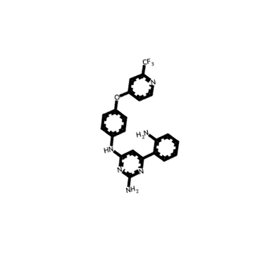 Nc1nc(Nc2ccc(Oc3ccnc(C(F)(F)F)c3)cc2)cc(-c2ccccc2N)n1